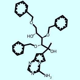 CC(O)(c1cc2ncnc(N)n2c1)[C@H](OCc1ccccc1)[C@H](OCc1ccccc1)[C@H](O)COCc1ccccc1